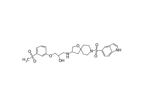 CS(=O)(=O)c1cccc(OCC(O)CNC2COC3(CCN(S(=O)(=O)c4ccc5[nH]ccc5c4)CC3)C2)c1